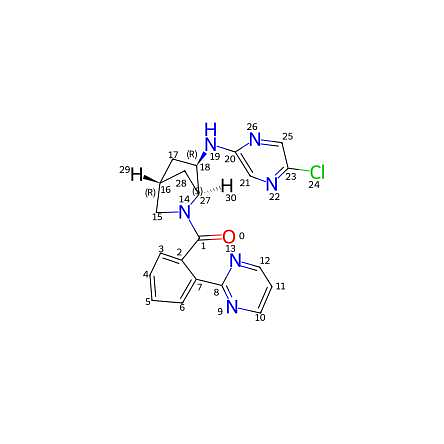 O=C(c1ccccc1-c1ncccn1)N1C[C@@H]2C[C@@H](Nc3cnc(Cl)cn3)[C@@H]1C2